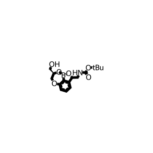 CC(C)(C)OC(=O)NCC1OB2O[C@H](CO)COc3cccc1c32